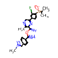 CNCc1ccc(C(=N)OC(=N)c2nc(-c3ccc([S+]([O-])C(C)C)c(F)c3)cnc2C)cc1